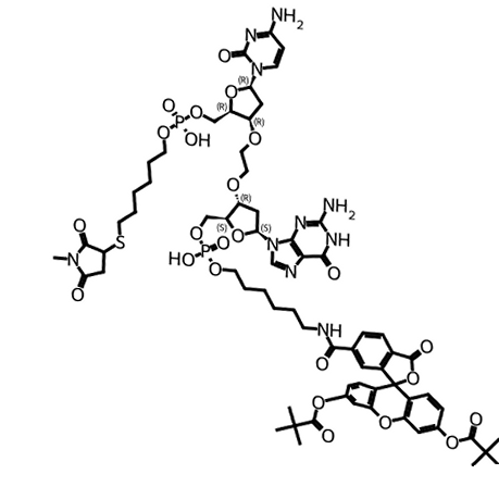 CN1C(=O)CC(SCCCCCCOP(=O)(O)OC[C@H]2O[C@@H](n3ccc(N)nc3=O)C[C@H]2OCCO[C@@H]2C[C@@H](n3cnc4c(=O)[nH]c(N)nc43)O[C@H]2COP(=O)(O)OCCCCCCNC(=O)c2ccc3c(c2)C2(OC3=O)c3ccc(OC(=O)C(C)(C)C)cc3Oc3cc(OC(=O)C(C)(C)C)ccc32)C1=O